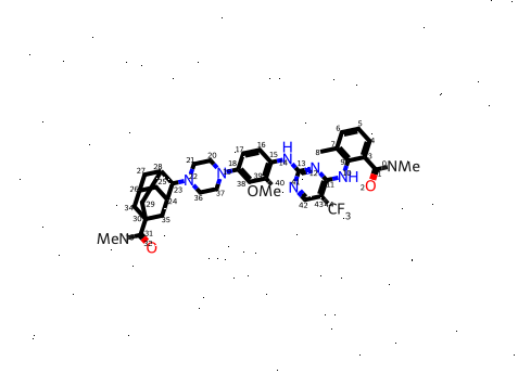 CNC(=O)c1cccc(C)c1Nc1nc(Nc2ccc(N3CCN(C4C5CC6CC4CC(C(=O)NC)(C6)C5)CC3)cc2OC)ncc1C(F)(F)F